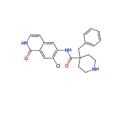 O=C(Nc1cc2cc[nH]c(=O)c2cc1Cl)C1(Cc2ccccc2)CCNCC1